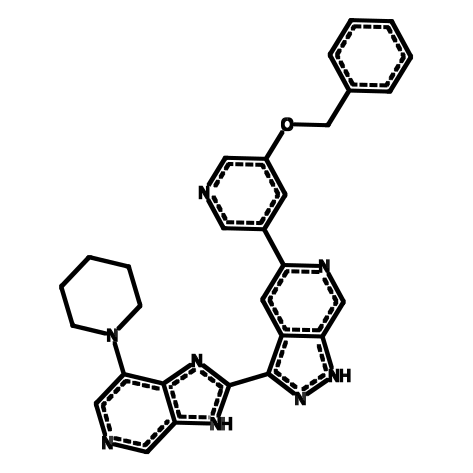 c1ccc(COc2cncc(-c3cc4c(-c5nc6c(N7CCCCC7)cncc6[nH]5)n[nH]c4cn3)c2)cc1